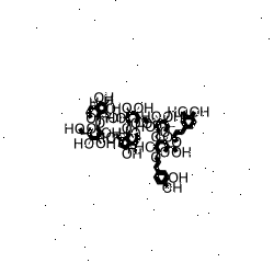 C[C@@H]1O[C@@H](O[C@@H]2[C@@H](O)[C@H](OCCc3ccc(O)c(O)c3)O[C@H](CO)[C@H]2OC(=O)/C=C/c2ccc(O)c(O)c2)[C@H](O)[C@H](O)[C@H]1O.OCC1=C[C@@H](O)[C@@H]2C=CO[C@@H](O[C@@H]3O[C@H](CO)[C@@H](O)[C@H](O)[C@H]3O)[C@H]12.OC[C@H]1O[C@@H](O[C@@H]2OC=C[C@H]3[C@H](O)[C@@H]4O[C@]4(CO)[C@@H]23)[C@H](O)[C@@H](O)[C@@H]1O